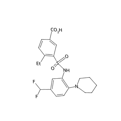 CCc1ccc(C(=O)O)cc1S(=O)(=O)Nc1cc(C(F)F)ccc1N1CCCCC1